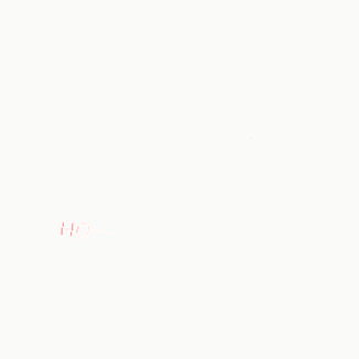 C=C(C)c1cccc(O)c1C